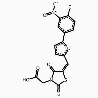 O=C(O)CN1C(=O)/C(=C\c2ccc(-c3ccc(Cl)c([N+](=O)[O-])c3)o2)SC1=S